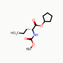 CC(C)(C)OC(=O)N[C@H](CCC(=O)O)C(=O)OC1CCCC1